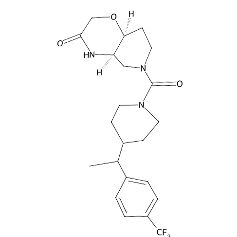 CC(c1ccc(C(F)(F)F)cc1)C1CCN(C(=O)N2CC[C@@H]3OCC(=O)N[C@@H]3C2)CC1